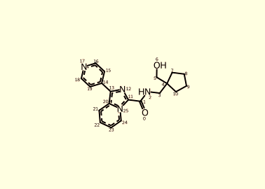 O=C(NCC1(CO)CCCC1)c1nc(-c2ccncc2)c2ccccn12